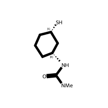 CNC(=O)N[C@@H]1CCC[C@H](S)C1